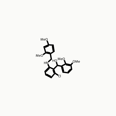 COc1ccc(CNc2cccc(Cl)c2C(O)c2cccc(OC)c2OC)c(OC)c1